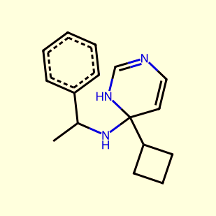 CC(NC1(C2CCC2)C=CN=CN1)c1ccccc1